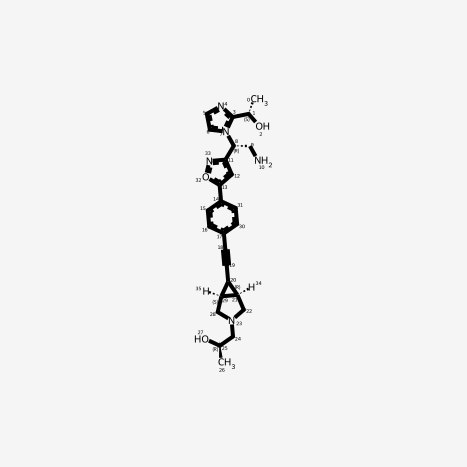 C[C@H](O)c1nccn1[C@H](CN)c1cc(-c2ccc(C#CC3[C@H]4CN(C[C@@H](C)O)C[C@@H]34)cc2)on1